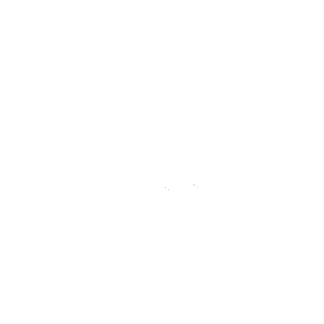 Cc1cnc2c(c1)c(C=CC(=O)O)c(-c1ccccc1)n2C